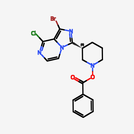 O=C(ON1CCC[C@@H](c2nc(Br)c3c(Cl)nccn23)C1)c1ccccc1